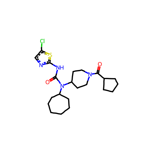 O=C(C1CCCC1)N1CCC(N(C(=O)Nc2ncc(Cl)s2)C2CCCCCC2)CC1